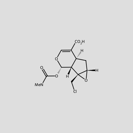 CNC(=O)O[C@@H]1OC=C(C(=O)O)[C@H]2C[C@@H]3O[C@]3(CCl)[C@H]12